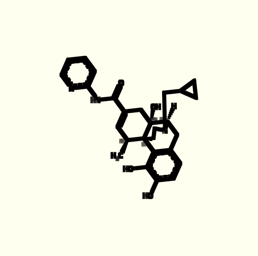 C[C@H]1C=C(C(=O)Nc2ccccn2)C[C@@]2(O)[C@H]3Cc4ccc(O)c(O)c4[C@@]12CCN3CC1CC1